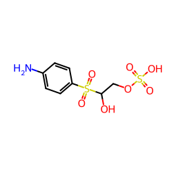 Nc1ccc(S(=O)(=O)C(O)COS(=O)(=O)O)cc1